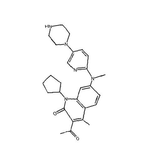 CC(=O)c1c(C)c2ccc(N(C)c3ccc(N4CCNCC4)cn3)cc2n(C2CCCC2)c1=O